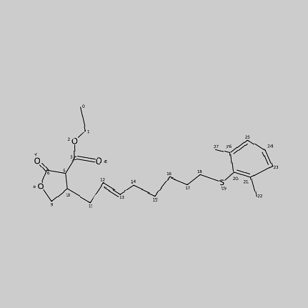 CCOC(=O)C1C(=O)OCC1CC=CCCCCCSc1c(C)cccc1C